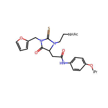 CC(=O)NCCN1C(=S)N(Cc2ccco2)C(=O)C1CC(=O)Nc1ccc(OC(C)C)cc1